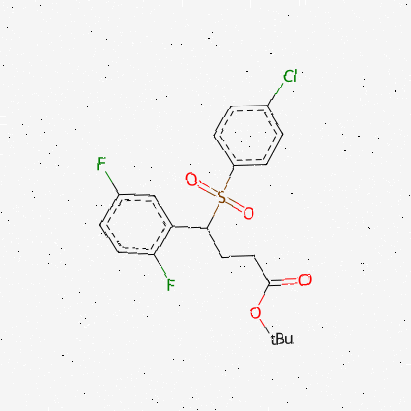 CC(C)(C)OC(=O)CCC(c1cc(F)ccc1F)S(=O)(=O)c1ccc(Cl)cc1